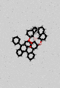 c1ccc(-c2c3ccccc3c(-c3ccccc3-c3cc4c5c(c3)Oc3ccc6ccccc6c3B5c3c(ccc5ccccc35)O4)c3ccccc23)cc1